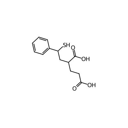 O=C(O)CCC(CC(S)c1ccccc1)C(=O)O